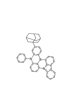 c1ccc(N2c3cc(C45CC6CC(CC(C6)C4)C5)ccc3B3c4c2cccc4-n2c4ccccc4c4cccc3c42)cc1